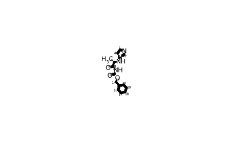 C[C@H](Nn1ccnc1)C(=O)NC(=O)OCc1ccccc1